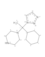 CC(C1CCCCC1)(N1CCNCC1)n1ccnn1